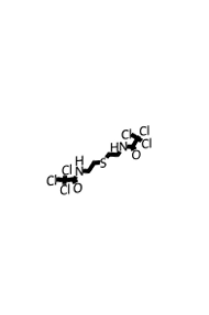 O=C(NCCSCCNC(=O)C(Cl)(Cl)Cl)C(Cl)(Cl)Cl